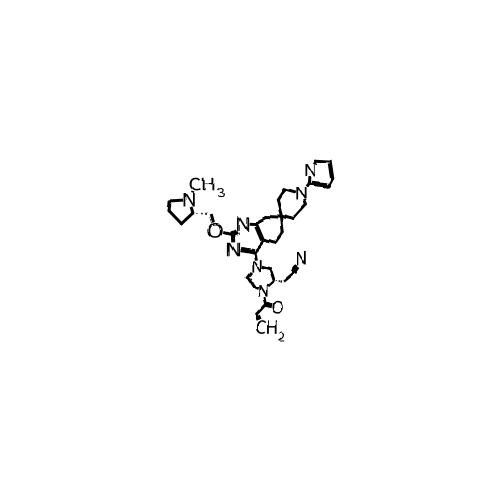 C=CC(=O)N1CCN(c2nc(OC[C@@H]3CCCN3C)nc3c2CCC2(CCN(c4ccccn4)CC2)C3)C[C@@H]1CC#N